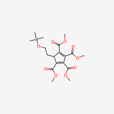 COC(=O)C1=C(C(=O)OC)C(CCO[Si](C)(C)C)C(C(=O)OC)=C1C(=O)OC